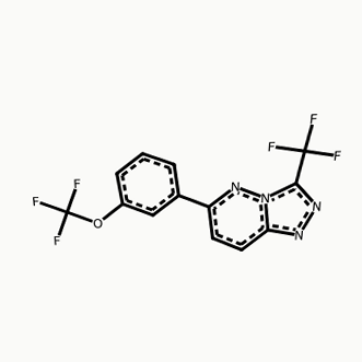 FC(F)(F)Oc1cccc(-c2ccc3nnc(C(F)(F)F)n3n2)c1